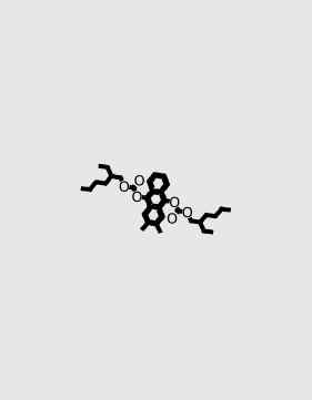 CCCCC(CC)COC(=O)Oc1c2ccccc2c(OC(=O)OCC(CC)CCCC)c2cc(C)c(C)cc12